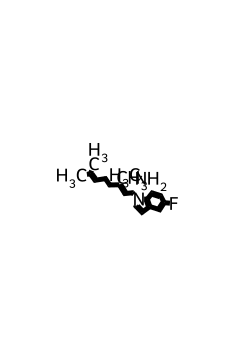 CC(C)=CCC/C(C)=C/Cn1ccc2cc(F)ccc21.CN